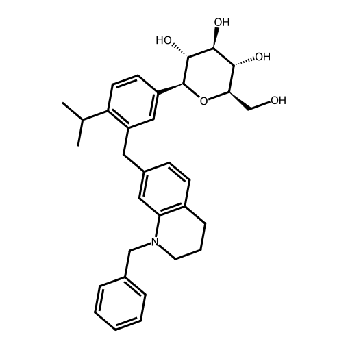 CC(C)c1ccc([C@@H]2O[C@H](CO)[C@@H](O)[C@H](O)[C@H]2O)cc1Cc1ccc2c(c1)N(Cc1ccccc1)CCC2